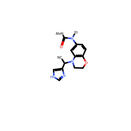 CCN(C(=O)NC)c1ccc2c(c1)N(C(C#N)c1c[nH]cn1)CCO2